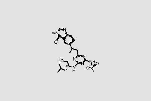 CC(C)C[C@H](CO)Nc1nc(CC(C)c2ccc3ncn(C)c(=O)c3c2)nc(NS(C)(=O)=O)n1